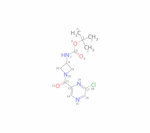 CC(C)(C)OC(=O)NC1CN(C(=O)c2cncc(Cl)n2)C1